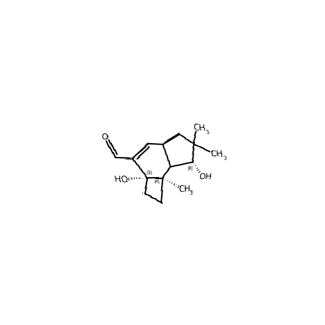 CC1(C)CC2C=C(C=O)[C@]3(O)[C]C[C@]3(C)C2[C@H]1O